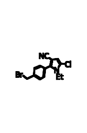 CCn1c(Cl)cc(C#N)c1-c1ccc(CBr)cc1